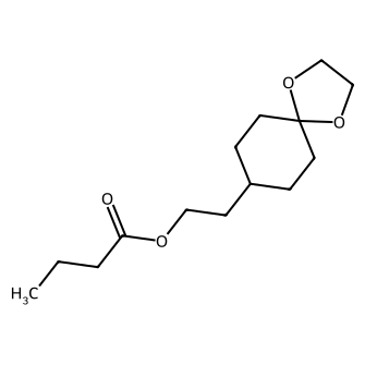 CCCC(=O)OCCC1CCC2(CC1)OCCO2